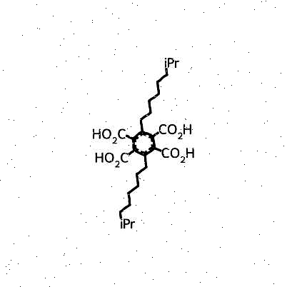 CC(C)CCCCCCc1c(C(=O)O)c(C(=O)O)c(CCCCCCC(C)C)c(C(=O)O)c1C(=O)O